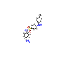 Cc1ccc(Nc2ccc(S(=O)(=O)Nc3ccc(N)cc3)cc2)cc1